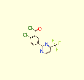 O=C(Cl)c1cc(-c2nccc(C(F)(F)F)n2)ccc1Cl